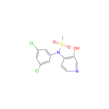 CS(=O)(=O)N(c1cc(Cl)cc(Cl)c1)c1ccncc1O